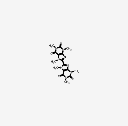 Cn1c(=O)c2c(nc(-c3nc4c(c(=O)n(C)c(=O)n4C)n3C)n2C)n(C)c1=O